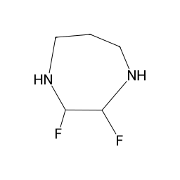 FC1NCCCNC1F